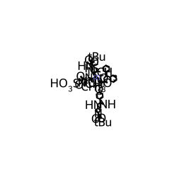 Cc1sc(NC(=O)OC(C)(C)C)nc1/C(=N/O[C@@H](COc1ccc(C(=N)NC2CN(C(=O)OC(C)(C)C)C2)cc1)C(=O)OC(c1ccccc1)c1ccccc1)C(=O)N[C@@H]1C(=O)N(OS(=O)(=O)O)C1(C)C